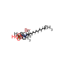 CCCCCCCCCCCCCC[N+](C)(C)C(C)OS(=O)(=O)O.[Br-]